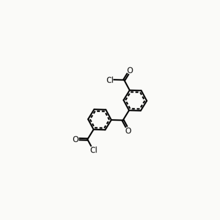 O=C(Cl)c1cccc(C(=O)c2cccc(C(=O)Cl)c2)c1